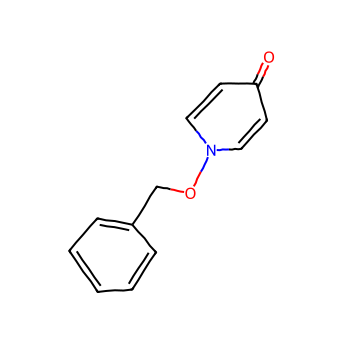 O=c1ccn(OCc2ccccc2)cc1